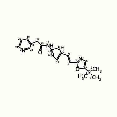 C[Si](C)(C)c1cnc(/C=C/c2cnc(NC(=O)Cc3cccnc3)s2)o1